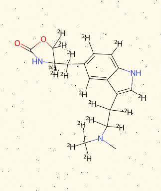 [2H]c1[nH]c2c([2H])c([2H])c(C([2H])([2H])[C@]3([2H])NC(=O)OC3([2H])[2H])c([2H])c2c1C([2H])([2H])C([2H])([2H])N(C)C([2H])([2H])[2H]